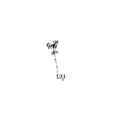 CC(C)C[C@H](NC(=O)CCCNC(=O)CCCCCCCCCCCCCCCCCCC(=O)O)C(=O)S